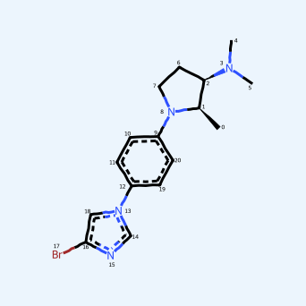 C[C@@H]1[C@H](N(C)C)CCN1c1ccc(-n2cnc(Br)c2)cc1